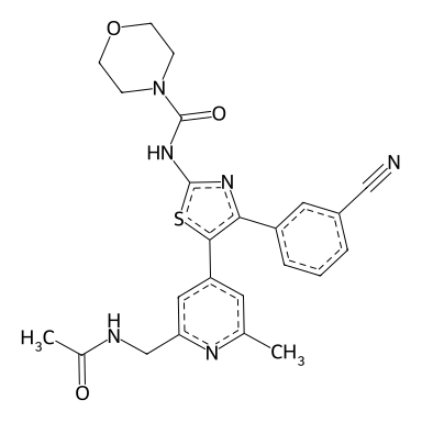 CC(=O)NCc1cc(-c2sc(NC(=O)N3CCOCC3)nc2-c2cccc(C#N)c2)cc(C)n1